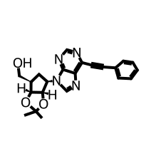 CC1(C)O[C@@H]2[C@@H](CO)C[C@@H](n3cnc4c(C#Cc5ccccc5)ncnc43)[C@@H]2O1